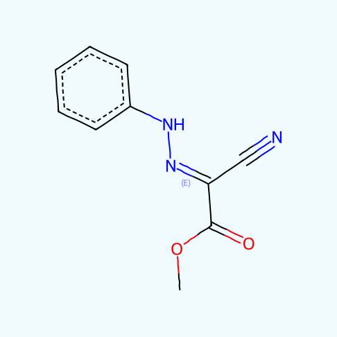 COC(=O)/C(C#N)=N/Nc1ccccc1